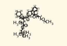 CCOCCCC[C@](O)(c1ccccc1)C1CCCN(C(=O)N[C@@H](CC2CCCCC2)CN(C)C(=O)OCC[Si](C)(C)C)C1